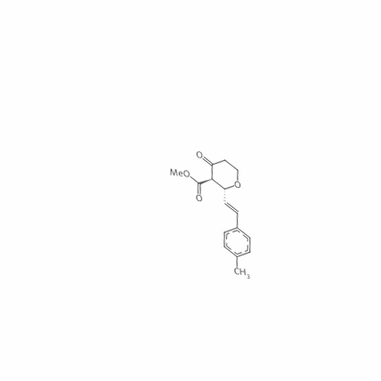 COC(=O)[C@H]1C(=O)CCO[C@@H]1/C=C/c1ccc(C)cc1